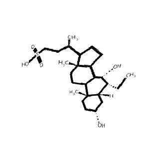 CC[C@H]1[C@@H](O)C2C3CCC([C@H](C)CCS(=O)(=O)O)[C@@]3(C)CCC2[C@@]2(C)CC[C@@H](O)C[C@@H]12